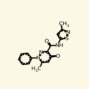 Cc1cc(NC(=O)c2nn(-c3ccccc3)c(C)cc2=O)sn1